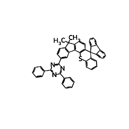 CC1(C)c2ccc(-c3nc(-c4ccccc4)nc(-c4ccccc4)n3)cc2-c2c1ccc1c2Sc2ccccc2C12c1ccccc1-c1ccccc12